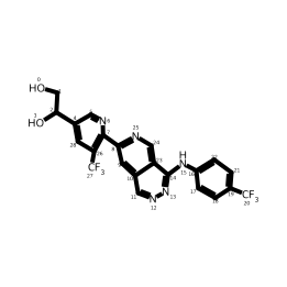 OCC(O)c1cnc(-c2cc3cnnc(Nc4ccc(C(F)(F)F)cc4)c3cn2)c(C(F)(F)F)c1